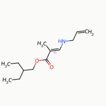 C=CCN/C=C(\C)C(=O)OCC(CC)CC